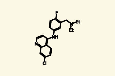 CCN(CC)Cc1cc(Nc2ccnc3cc(Cl)ccc23)ccc1F